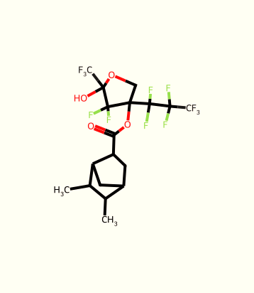 CC1C2CC(C(=O)OC3(C(F)(F)C(F)(F)C(F)(F)F)COC(O)(C(F)(F)F)C3(F)F)C(C2)C1C